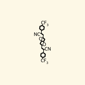 N#C/C(=C\c1cc2oc(/C=C(\C#N)c3ccc(C(F)(F)F)cc3)cc2o1)c1ccc(C(F)(F)F)cc1